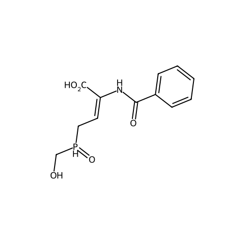 O=C(O)C(=CC[PH](=O)CO)NC(=O)c1ccccc1